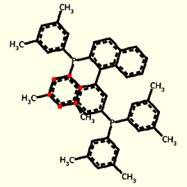 Cc1cc(C)cc(P(c2cc(C)cc(C)c2)c2cc(-c3c(P(c4cc(C)cc(C)c4)c4cc(C)cc(C)c4)ccc4ccccc34)c3ccccc3c2)c1